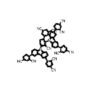 N#Cc1cc(-c2ccc(-n3c4ccc(-c5ccc(C#N)cc5C#N)cc4c4cc(-c5ccc(C#N)cc5C#N)ccc43)c(C#N)c2-n2c3ccc(-c4ccc(C#N)cc4C#N)cc3c3cc(-c4ccc(C#N)cc4C#N)ccc32)cc(C(F)(F)F)c1